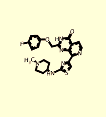 CN1CCC(Nc2nc(-c3nccc4c(=O)[nH]c(COc5ccc(F)cc5)nc34)cs2)CC1